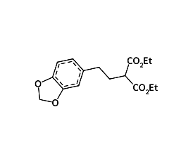 CCOC(=O)C(CCc1ccc2c(c1)OCO2)C(=O)OCC